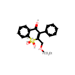 CCOC(=O)OCC1=C(c2ccccc2)C(=O)c2ccccc2S1(=O)=O